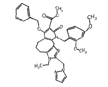 CCn1c(Cn2cccn2)nc2c1CCCc1c(OCc3ccccc3)c(C(=O)OC)c(=O)n(Cc3ccc(OC)cc3OC)c1-2